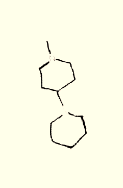 CN1CC[C](N2CC[CH]CC2)CC1